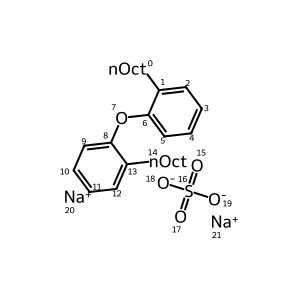 CCCCCCCCc1ccccc1Oc1ccccc1CCCCCCCC.O=S(=O)([O-])[O-].[Na+].[Na+]